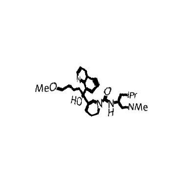 CNCC(CC(C)C)NC(=O)N1CCCC(C(O)(CCCCOC)c2cccc3cccnc23)C1